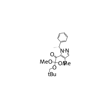 COC(OC)(OCC(C)(C)C)C(=O)c1c(F)cnn1[C@H](C)c1ccccc1